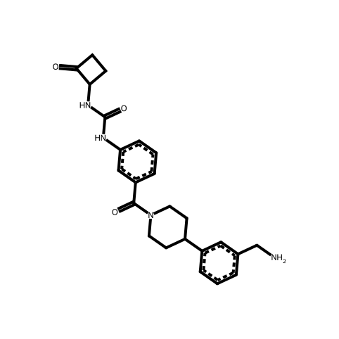 NCc1cccc(C2CCN(C(=O)c3cccc(NC(=O)NC4CCC4=O)c3)CC2)c1